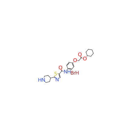 Br.O=C(COc1ccc(NC(=O)c2cnc(C3CCNCC3)s2)cc1)OC1CCCCC1